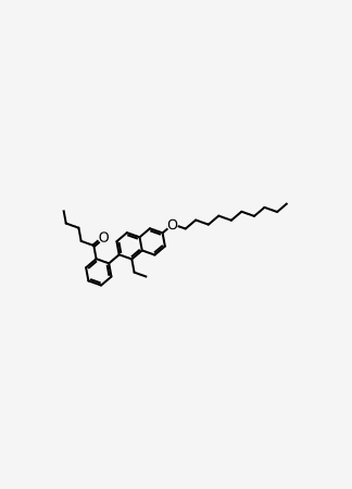 CCCCCCCCCCOc1ccc2c(CC)c(-c3ccccc3C(=O)CCCC)ccc2c1